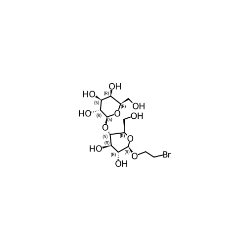 OC[C@H]1O[C@@H](O[C@H]2[C@H](O)[C@@H](O)[C@H](OCCBr)O[C@@H]2CO)[C@H](O)[C@@H](O)[C@H]1O